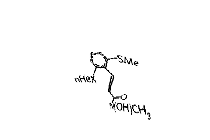 CCCCCCc1cccc(SC)c1/C=C/C(=O)N(C)O